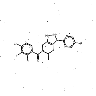 CC1CC2=C(CN1C(=O)c1ccc(Cl)c(F)c1Cl)NNN2c1ncc(F)cn1